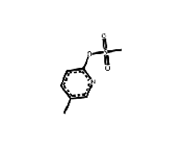 Cc1ccc(OS(C)(=O)=O)nc1